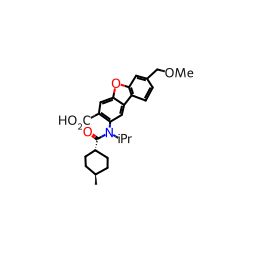 COCc1ccc2c(c1)oc1cc(C(=O)O)c(N(C(=O)[C@H]3CC[C@H](C)CC3)C(C)C)cc12